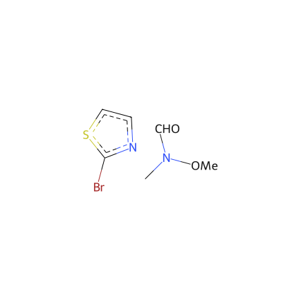 Brc1nccs1.CON(C)C=O